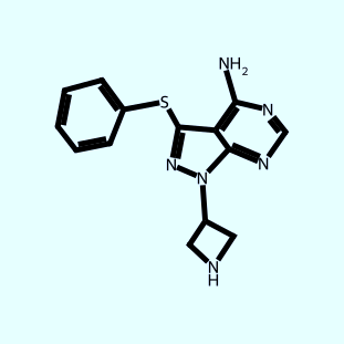 Nc1ncnc2c1c(Sc1ccccc1)nn2C1CNC1